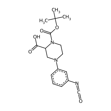 CC(C)(C)OC(=O)N1CCN(c2cccc(N=C=O)c2)CC1C(=O)O